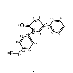 O=c1ccc(-c2ccccc2)cn1-c1ccc(CF)cc1